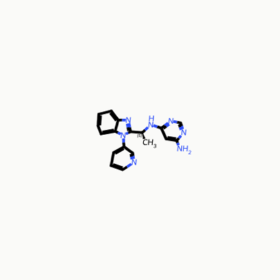 C[C@H](Nc1cc(N)ncn1)c1nc2ccccc2n1-c1cccnc1